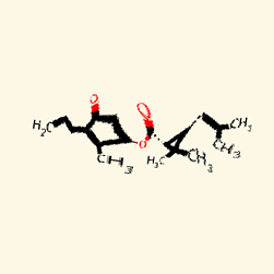 C=CCC1=C(C)[C@@H](OC(=O)[C@@H]2[C@H](C=C(C)C)C2(C)C)CC1=O